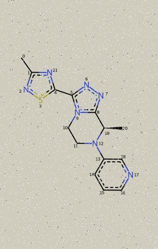 Cc1nsc(-c2nnc3n2CCN(c2cccnc2)[C@@H]3C)n1